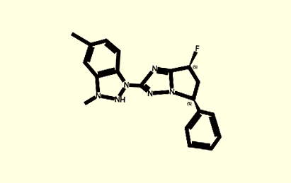 Cc1ccc2c(c1)N(C)NN2c1nc2n(n1)[C@H](c1ccccc1)C[C@@H]2F